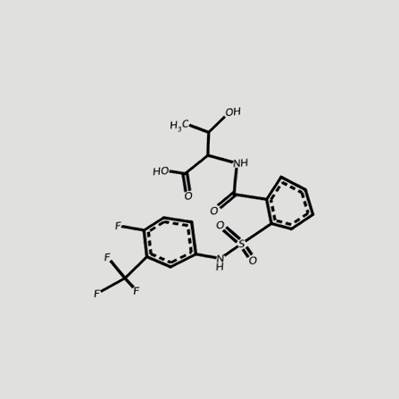 CC(O)C(NC(=O)c1ccccc1S(=O)(=O)Nc1ccc(F)c(C(F)(F)F)c1)C(=O)O